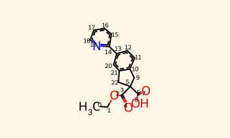 CCOC(=O)C1(C(=O)O)Cc2ccc(-c3ccccn3)cc2C1